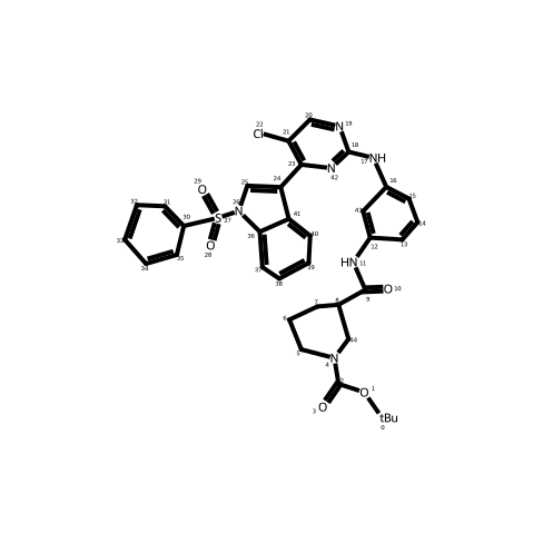 CC(C)(C)OC(=O)N1CCCC(C(=O)Nc2cccc(Nc3ncc(Cl)c(-c4cn(S(=O)(=O)c5ccccc5)c5ccccc45)n3)c2)C1